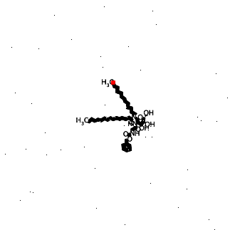 CCCCCCCCCCCCCCCC(=O)N(CCCCCCCCCCCCCC)[C@@H]1O[C@H](CO)[C@@H](O)[C@H](O)[C@H]1NC(=O)CNC(=O)OCc1ccccc1